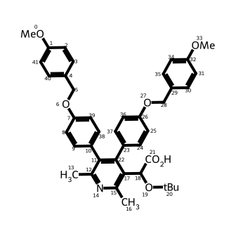 COc1ccc(COc2ccc(-c3c(C)nc(C)c(C(OC(C)(C)C)C(=O)O)c3-c3ccc(OCc4ccc(OC)cc4)cc3)cc2)cc1